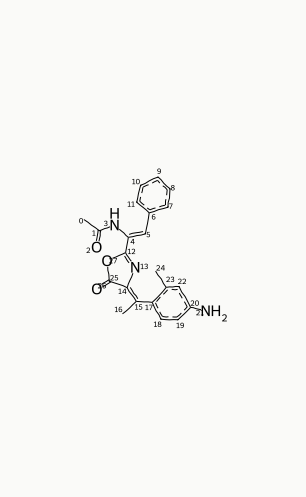 CC(=O)NC(=Cc1ccccc1)C1=NC(=C(C)c2ccc(N)cc2C)C(=O)O1